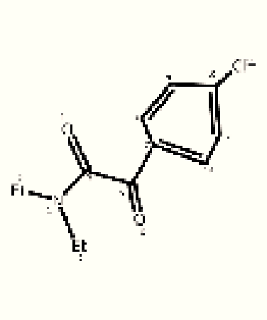 CCN(CC)C(=O)C(=O)c1ccc(Cl)cc1